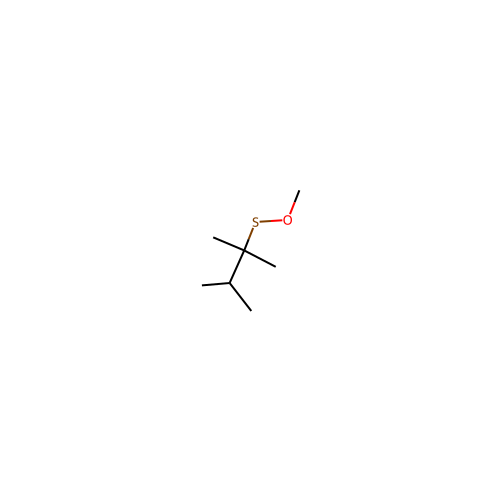 COSC(C)(C)C(C)C